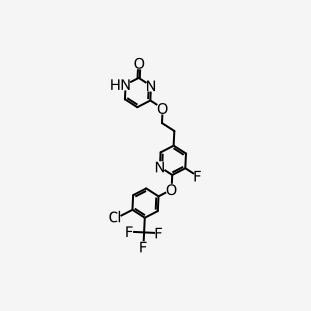 O=c1nc(OCCc2cnc(Oc3ccc(Cl)c(C(F)(F)F)c3)c(F)c2)cc[nH]1